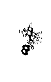 C[C@@H](NS(=O)(=O)c1ccc2ccccc2c1)C(=O)C1[C@H](C(=O)N(C)C2CCCNC2)C1([NH])C=NC(=N)N